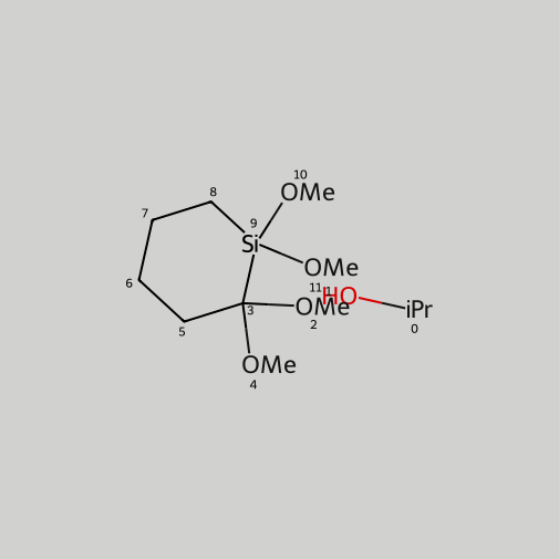 CC(C)O.COC1(OC)CCCC[Si]1(OC)OC